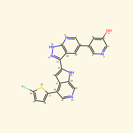 Oc1cncc(-c2cnc3[nH]nc(-c4cc5c(-c6ccc(F)s6)cncc5[nH]4)c3c2)c1